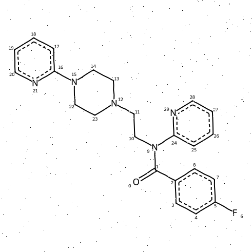 O=C(c1ccc(F)cc1)N(CCN1CCN(c2ccccn2)CC1)c1ccccn1